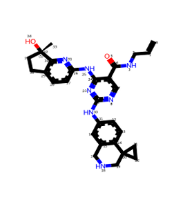 C=CCNC(=O)c1cnc(Nc2ccc3c(c2)CNCC32CC2)nc1Nc1ccc2c(n1)[C@@](C)(O)CC2